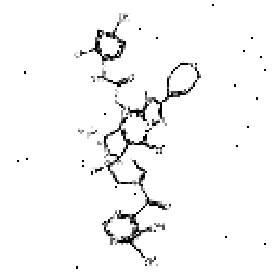 Cc1ncnc(C(=O)N2CC[C@@]3(O[C@H](C)c4c3c(=O)n3nc(C5=CCOCC5)nc3n4CC(=O)Nc3ccc(C(F)(F)F)cc3Cl)[C@H](F)C2)c1O